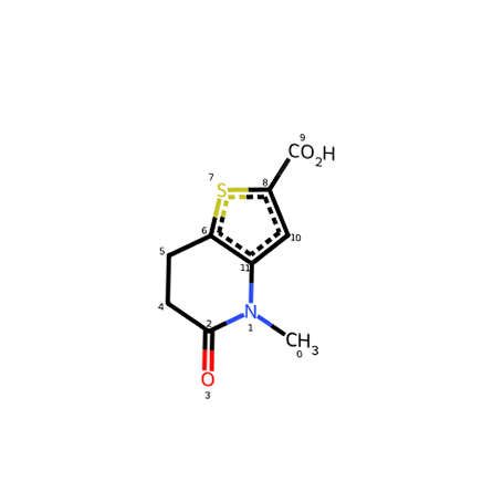 CN1C(=O)CCc2sc(C(=O)O)cc21